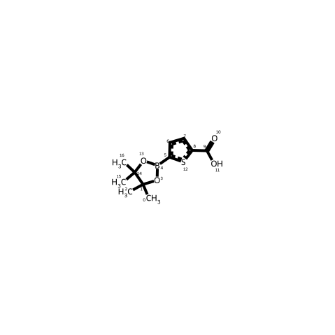 CC1(C)OB(c2ccc(C(=O)O)s2)OC1(C)C